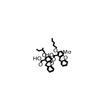 CCC(C)COc1ccc2c(c1C(=O)O)Cc1ccccc1O2.CCCCCOc1ccc2c(c1C(=O)O)Cc1ccccc1O2.[Mo]